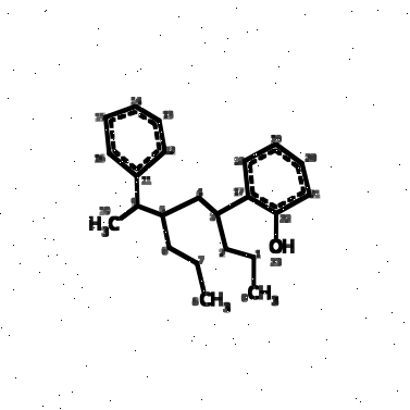 CCCC(CC(CCC)C(C)c1ccccc1)c1ccccc1O